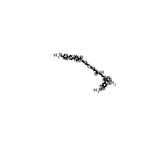 NCc1cnc(N2CCN(c3ncc(C(=O)NCCOCCOCCOCCC(=O)NCCCCn4nc(-c5ccc6oc(N)nc6c5)c5c(N)ncnc54)cn3)CC2)nc1